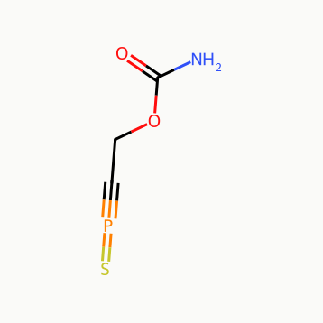 NC(=O)OCC#P=S